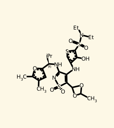 CCN(CC)S(=O)(=O)c1scc(NC2=C(C3OC(C)O3)S(=O)(=O)N=C2N[C@@H](c2cc(C)c(C)o2)C(C)C)c1O